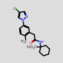 CCOC(=O)C1(NC(=O)Cc2cc(-n3cc(Cl)cn3)ccc2C)CCCCC1